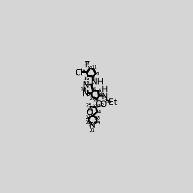 CCC(=O)Nc1cc2c(Nc3ccc(F)c(Cl)c3)ncnc2cc1OC1COC2(CCN(C)CC2)C1